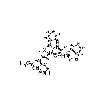 CC(C)CN(C1CCNCC1)[C@@H]1CCN(C(=O)[C@@H](Cc2ccccc2)NC(=O)CC2NCCc3ccccc32)C1